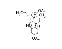 C=CCC1CC(OC(C)=O)[C@@]2(C)CC[C@@H]3[C@@H](CC=C4CC(OC(C)=O)CC[C@@]43CO)[C@H]12